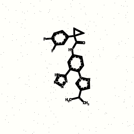 CC(C)c1cnn(-c2ccc(NC(=O)C3(c4ccc(F)c(F)c4)CC3)cc2-c2nnn[nH]2)c1